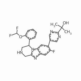 CC(C)(O)c1ncc(-c2cc3c(cc2F)nc2n3C(c3ccccc3OC(F)F)CNC2)cn1